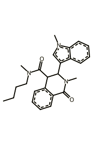 CCCCN(C)C(=O)C1c2ccccc2C(=O)N(C)C1c1cn(C)c2ccccc12